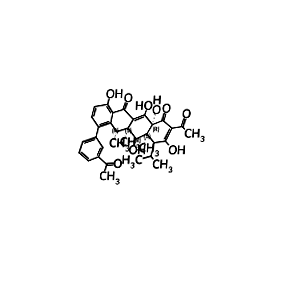 CC(=O)C1=C(O)C(C(C)C)[C@@]2(C)[C@H](O)[C@]3(C)C(=C(O)[C@@]2(O)C1=O)C(=O)c1c(O)ccc(-c2cccc(C(C)=O)c2)c1[C@H]3C